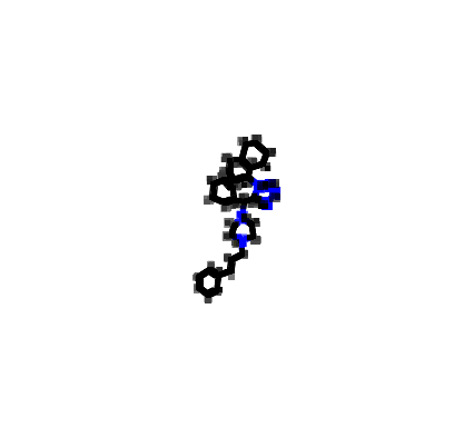 C(=Cc1ccccc1)CN1CCN(C(c2ccccc2)c2nnnn2-c2cccc3c2CCCC3)CC1